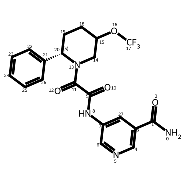 NC(=O)c1cncc(NC(=O)C(=O)N2CC(OC(F)(F)F)CC[C@H]2c2ccccc2)c1